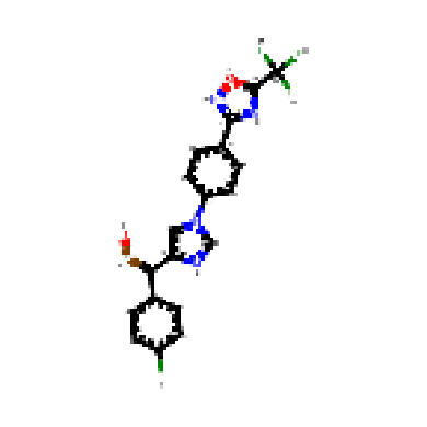 O=S=C(c1ccc(F)cc1)c1cn(-c2ccc(-c3noc(C(F)(F)F)n3)cc2)cn1